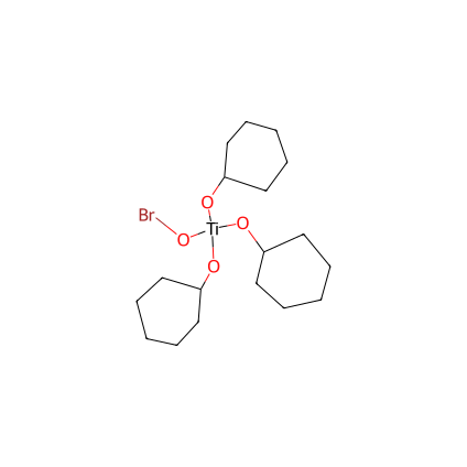 Br[O][Ti]([O]C1CCCCC1)([O]C1CCCCC1)[O]C1CCCCC1